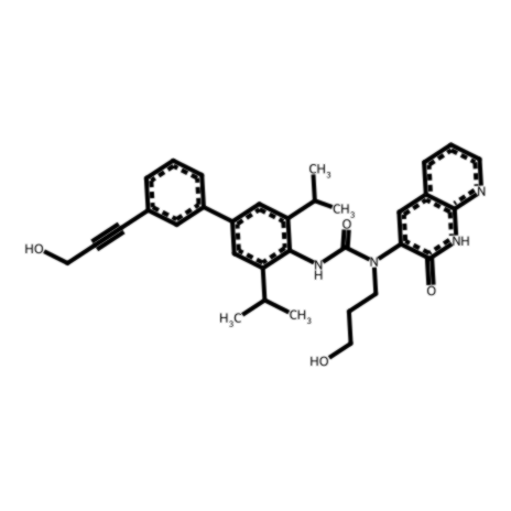 CC(C)c1cc(-c2cccc(C#CCO)c2)cc(C(C)C)c1NC(=O)N(CCCO)c1cc2cccnc2[nH]c1=O